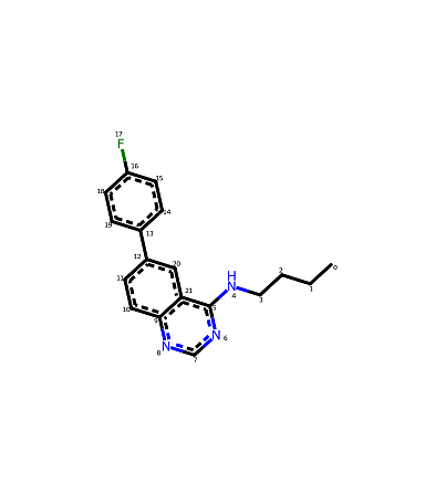 CCCCNc1ncnc2ccc(-c3ccc(F)cc3)cc12